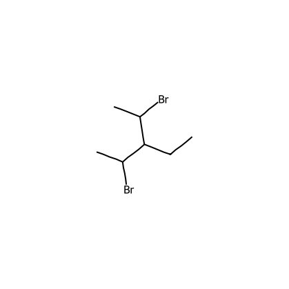 CCC(C(C)Br)C(C)Br